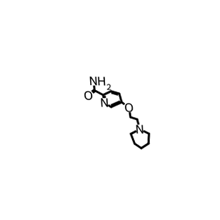 NC(=O)c1ccc(OCCN2CCCCC2)cn1